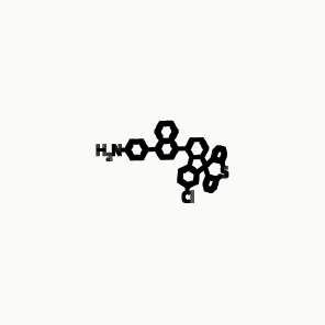 Nc1ccc(-c2ccc(C3=CC=CC4C3c3ccc(Cl)cc3C43c4ccccc4Sc4ccccc43)c3ccccc23)cc1